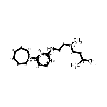 CC(C)CCN(C)CCNc1nccc(N2CCCCCC2)n1